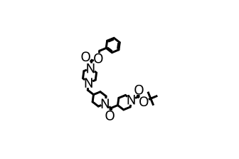 CC(C)(C)OC(=O)N1CCC(C(=O)N2CCC(CN3CCN(C(=O)OCc4ccccc4)CC3)CC2)CC1